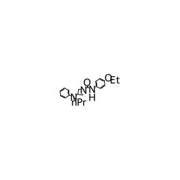 CCCN(c1ccccc1)C1CN(C(=O)Nc2ccc(OCC)cc2)C1